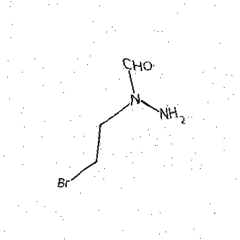 NN([C]=O)CCBr